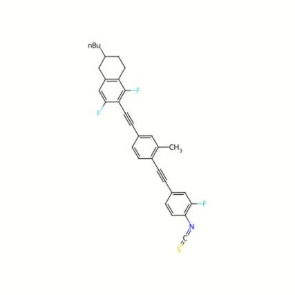 CCCCC1CCc2c(cc(F)c(C#Cc3ccc(C#Cc4ccc(N=C=S)c(F)c4)c(C)c3)c2F)C1